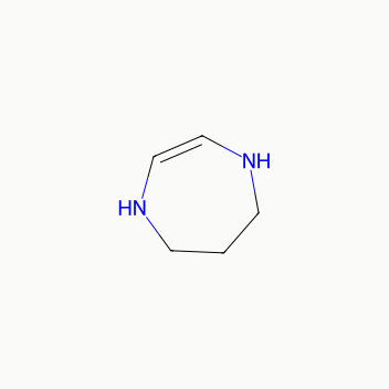 C1=CNCCCN1